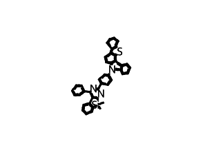 C[Si]1(C)c2ccccc2-c2c(-c3ccccc3)nc(-c3ccc(-n4c5ccccc5c5c6sc7ccccc7c6ccc54)cc3)nc21